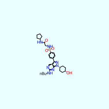 CCCCNc1ncc2c(-c3ccc(S(=O)(=O)NCC(=O)NC4CCCC4)cc3)nn([C@H]3CC[C@H](O)CC3)c2n1